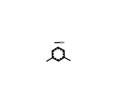 CO.Cc1cccc(C)c1